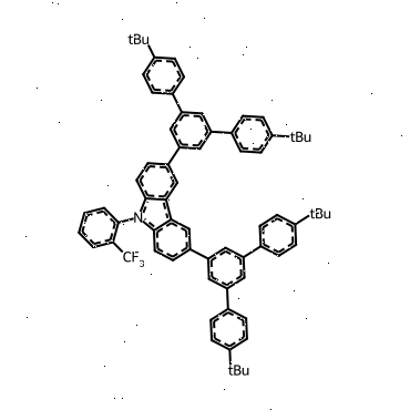 CC(C)(C)c1ccc(-c2cc(-c3ccc(C(C)(C)C)cc3)cc(-c3ccc4c(c3)c3cc(-c5cc(-c6ccc(C(C)(C)C)cc6)cc(-c6ccc(C(C)(C)C)cc6)c5)ccc3n4-c3ccccc3C(F)(F)F)c2)cc1